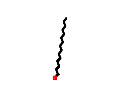 CCCCCCCCCC/C=C/C=C/[C]=O